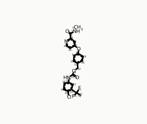 CNC(=O)c1cc(Oc2ccc(COC(=O)Nc3ccc(Cl)c(C(F)(F)F)c3)cc2)ccn1